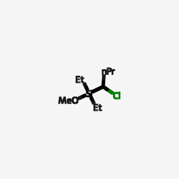 CCCC(Cl)[Si](CC)(CC)OC